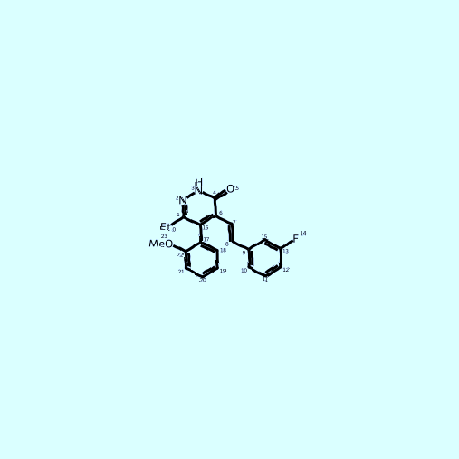 CCc1n[nH]c(=O)c(C=Cc2cccc(F)c2)c1-c1ccccc1OC